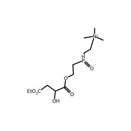 CCOC(=O)CC(O)C(=O)OCC[PH](=O)CC[N+](C)(C)C